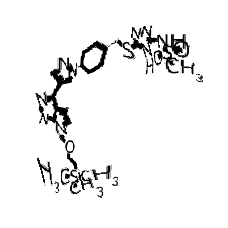 C[Si](C)(C)CCOCn1ccc2c(-c3cnn([C@H]4CC[C@@H](CSc5nnc(NS(C)(=O)=O)[nH]5)CC4)c3)ncnc21